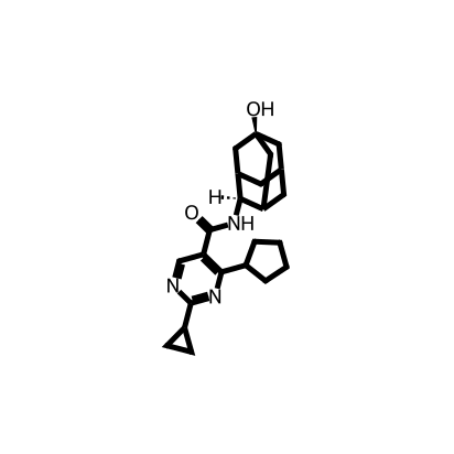 O=C(N[C@H]1C2CC3CC1C[C@@](O)(C3)C2)c1cnc(C2CC2)nc1C1CCCC1